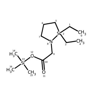 CC[Si]1(CC)CCCN1CC(=O)O[Si](C)(C)C